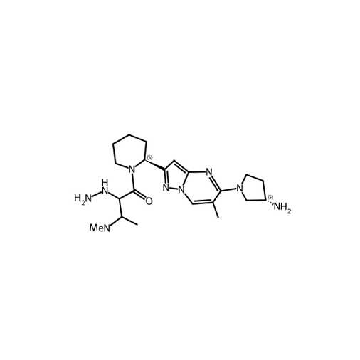 CNC(C)C(NN)C(=O)N1CCCC[C@H]1c1cc2nc(N3CC[C@H](N)C3)c(C)cn2n1